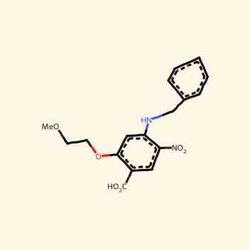 COCCOc1cc(NCc2ccccc2)c([N+](=O)[O-])cc1C(=O)O